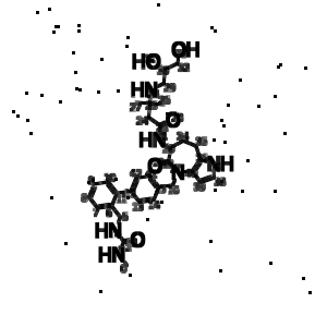 CNC(=O)NCc1ccccc1-c1ccc(CN2C(=O)[C@H](NC(=O)CC(C)(C)NC[C@H](O)CO)CCc3[nH]ccc32)cc1